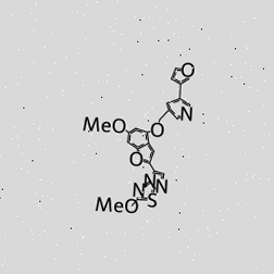 COc1cc(OCc2cncc(-c3ccoc3)c2)c2cc(-c3cnc4sc(OC)nn34)oc2c1